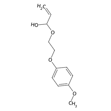 C=CC(O)OCCOc1ccc(OC)cc1